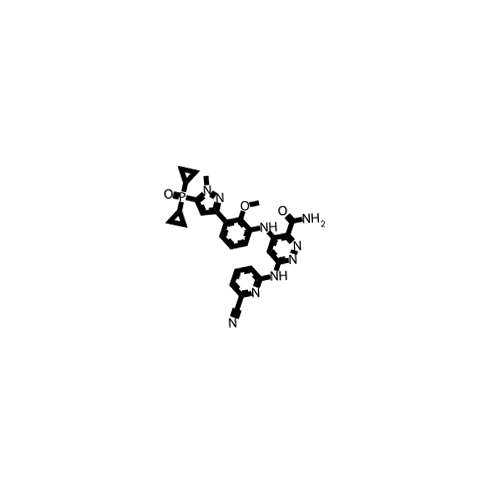 COc1c(Nc2cc(Nc3cccc(C#N)n3)nnc2C(N)=O)cccc1-c1cc(P(=O)(C2CC2)C2CC2)n(C)n1